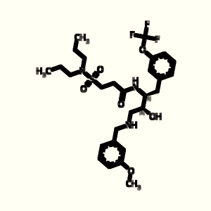 CCCN(CCC)S(=O)(=O)CCC(=O)N[C@@H](Cc1cccc(OC(F)(F)F)c1)[C@@H](O)CNCc1cccc(OC)c1